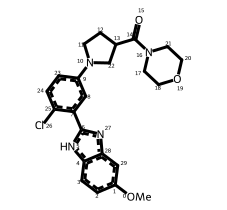 COc1ccc2[nH]c(-c3cc(N4CCC(C(=O)N5CCOCC5)C4)ccc3Cl)nc2c1